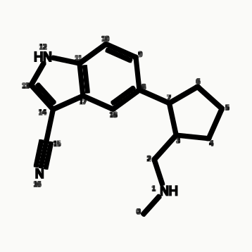 CNCC1CCCC1c1ccc2[nH]cc(C#N)c2c1